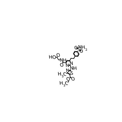 CCOC(=O)c1sc(Nc2nc(CCc3ccc(S(N)(=O)=O)cc3)cc(C(=O)NCC(=O)O)n2)nc1C